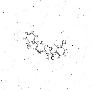 Cc1c(Cl)cccc1S(=O)(=O)Nc1ccc(-c2ccccc2Cl)cn1